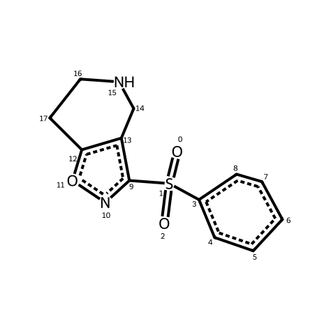 O=S(=O)(c1ccccc1)c1noc2c1CNCC2